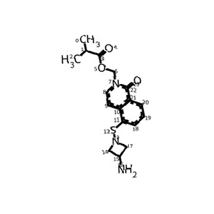 CC(C)C(=O)OCn1ccc2c(SN3CC(N)C3)cccc2c1=O